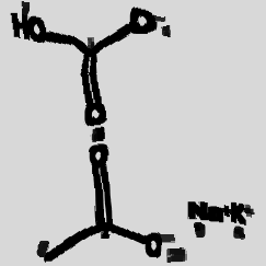 CC(=O)[O-].O=C([O-])O.[K+].[Na+]